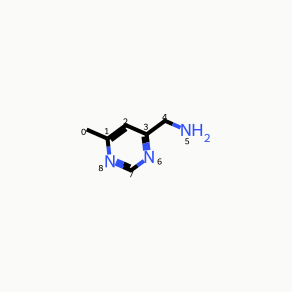 Cc1cc(CN)ncn1